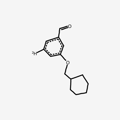 [2H]c1cc(C=O)cc(OCC2CCCCC2)c1